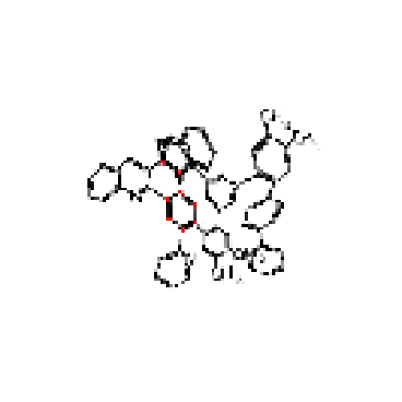 Cc1cc(-c2ccc(-c3ccccn3)cc2)c(-c2cc(-c3ccccc3-c3ccc(-c4ccccn4)cc3)cc(-c3cc(C)c(C)cc3-c3ccc4c5nc6ccccc6cc5c5nc6ccccc6n5c4c3)c2)cc1C